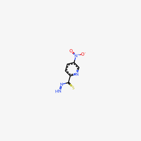 N=NC(=S)c1ccc([N+](=O)[O-])cn1